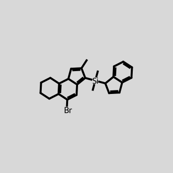 CC1=CC2C(=C1[Si](C)(C)C1C=Cc3ccccc31)C=C(Br)C1=C2CCCC1